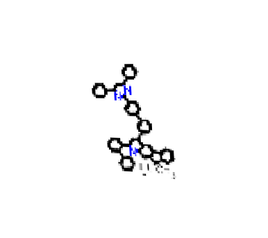 CC1(C)c2ccccc2-c2cc3c(-c4cccc(-c5ccc(-c6nc(-c7ccccc7)cc(-c7ccccc7)n6)cc5)c4)cc(-c4ccccc4-c4ccccc4)nc3cc21